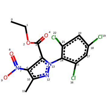 CCOC(=O)c1c([N+](=O)[O-])c(C)nn1-c1c(Cl)cc(Cl)cc1Cl